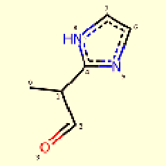 CC(C=O)c1ncc[nH]1